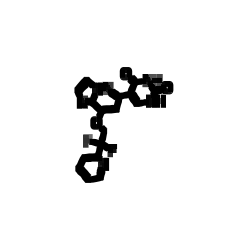 O=c1[nH]cc(-c2cc(OCC(F)(F)c3ccccn3)c3nccn3n2)c(=O)[nH]1